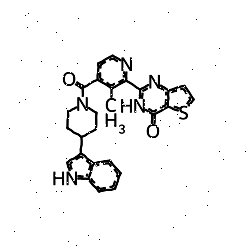 Cc1c(C(=O)N2CCC(c3c[nH]c4ccccc34)CC2)ccnc1-c1nc2ccsc2c(=O)[nH]1